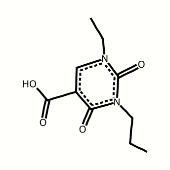 CCCn1c(=O)c(C(=O)O)cn(CC)c1=O